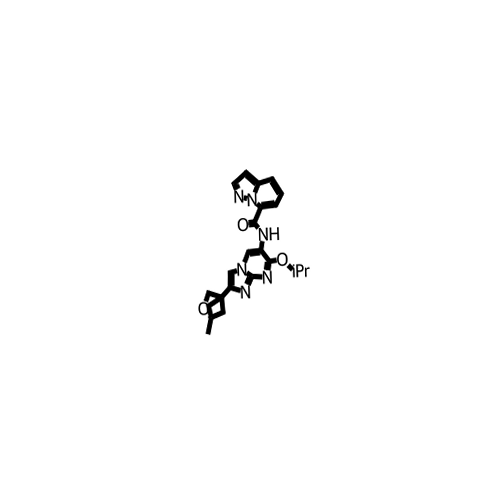 CC(C)Oc1nc2nc(C34COC(C)(C3)C4)cn2cc1NC(=O)c1cccc2ccnn12